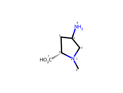 CN1CC(N)C[C@H]1C(=O)O